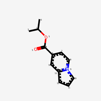 CC(C)OC(=O)c1ccn2cccc2c1